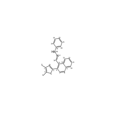 CC1=C(C)CC(c2ccc3ccccc3c2/C=N/Nc2ccccc2)=C1